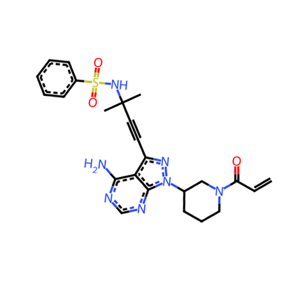 C=CC(=O)N1CCCC(n2nc(C#CC(C)(C)NS(=O)(=O)c3ccccc3)c3c(N)ncnc32)C1